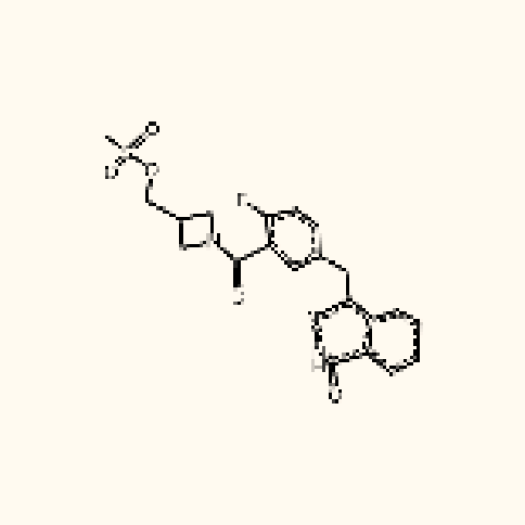 CS(=O)(=O)OCC1CN(C(=O)c2cc(Cc3n[nH]c(=O)c4ccccc34)ccc2F)C1